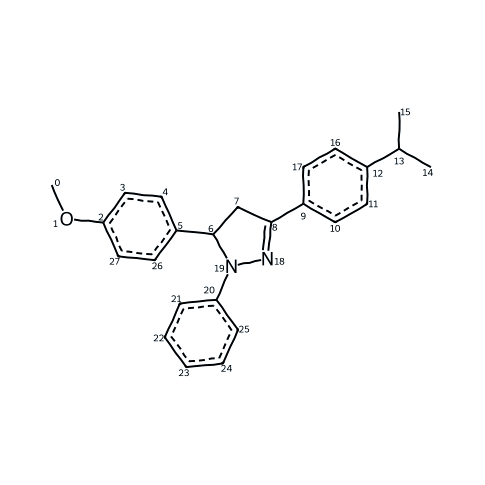 COc1ccc(C2CC(c3ccc(C(C)C)cc3)=NN2c2ccccc2)cc1